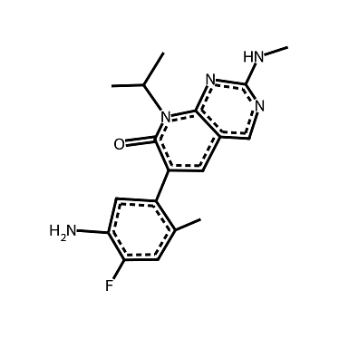 CNc1ncc2cc(-c3cc(N)c(F)cc3C)c(=O)n(C(C)C)c2n1